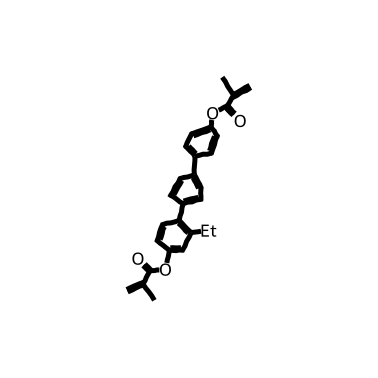 C=C(C)C(=O)Oc1ccc(-c2ccc(-c3ccc(OC(=O)C(=C)C)cc3CC)cc2)cc1